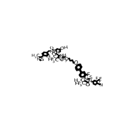 Cc1ncsc1-c1ccc(CNC(=O)[C@@H]2C[C@@H](O)CN2C(=O)C(NC(=O)COCCCCOc2ccc(-c3ccc(N4C(=S)N(c5ccc(C#N)c(C(F)(F)F)c5)C(=O)C4(C)C)c(F)c3)cc2)C(C)(C)C)cc1